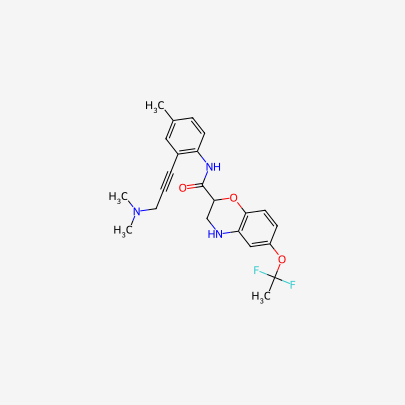 Cc1ccc(NC(=O)C2CNc3cc(OC(C)(F)F)ccc3O2)c(C#CCN(C)C)c1